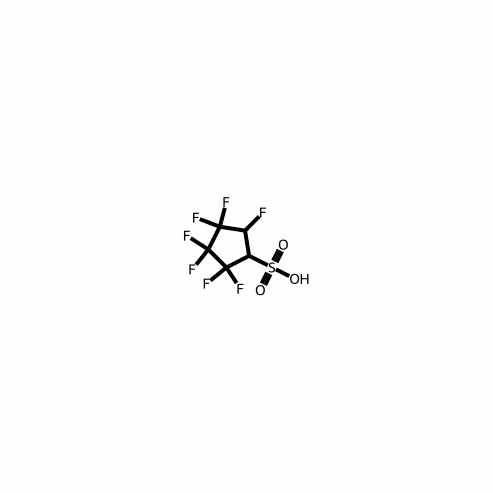 O=S(=O)(O)C1C(F)C(F)(F)C(F)(F)C1(F)F